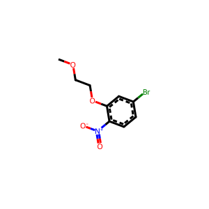 COCCOc1cc(Br)ccc1[N+](=O)[O-]